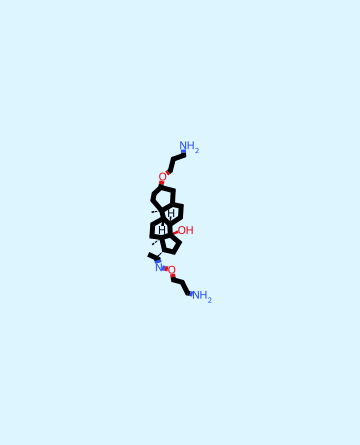 C/C(=N/OCCCN)[C@H]1CC[C@@]2(O)[C@@H]3CCC4CC(OCCCN)CC[C@]4(C)[C@H]3CC[C@]12C